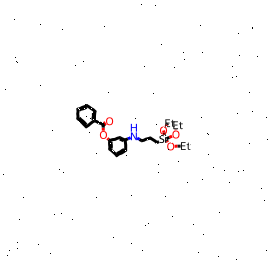 CCO[Si](CCCNc1cccc(OC(=O)c2ccccc2)c1)(OCC)OCC